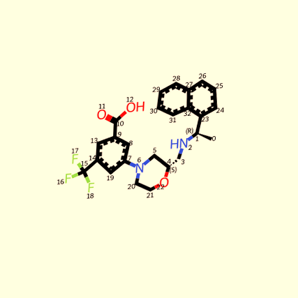 C[C@@H](NC[C@H]1CN(c2cc(C(=O)O)cc(C(F)(F)F)c2)CCO1)c1cccc2ccccc12